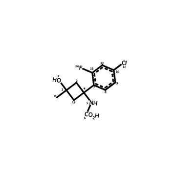 CC1(O)CC(NC(=O)O)(c2ccc(Cl)cc2F)C1